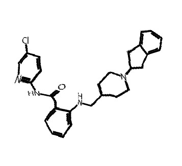 O=C(Nc1ccc(Cl)cn1)c1ccccc1NCC1CCN(C2Cc3ccccc3C2)CC1